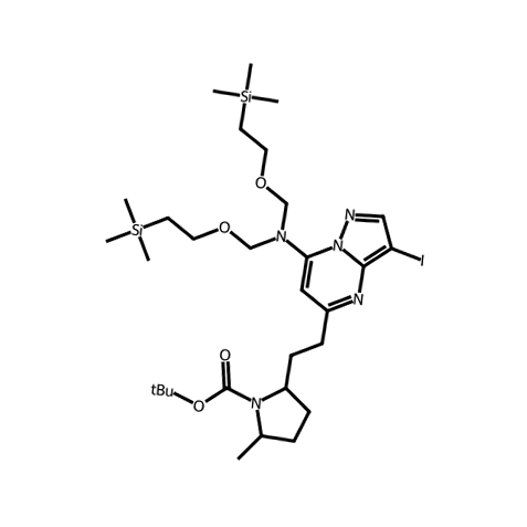 CC1CCC(CCc2cc(N(COCC[Si](C)(C)C)COCC[Si](C)(C)C)n3ncc(I)c3n2)N1C(=O)OC(C)(C)C